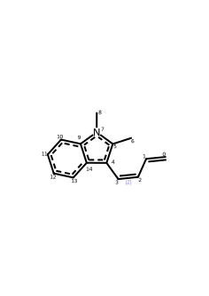 C=C/C=C\c1c(C)n(C)c2ccccc12